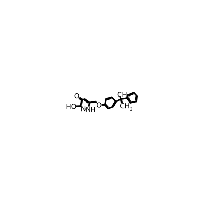 CC(C)(c1ccccc1)c1ccc(OCc2cc(=O)c(O)n[nH]2)cc1